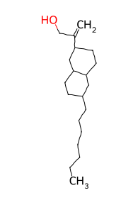 C=C(CO)C1CCC2CC(CCCCCCC)CCC2C1